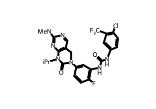 CNc1ncc2c(n1)N(C(C)C)C(=O)N(c1ccc(F)c(NC(=O)Nc3ccc(Cl)c(C(F)(F)F)c3)c1)C2